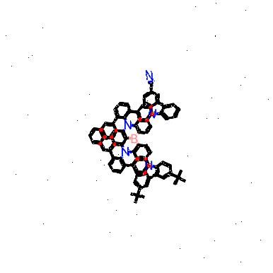 CC(C)(C)c1ccc2c(c1)c1cc(C(C)(C)C)ccc1n2-c1ccc2c(c1)N(c1c(-c3ccccc3)cccc1-c1ccccc1)c1cc(-c3ccccc3)cc3c1B2c1ccc(-n2c4ccccc4c4cc(C#N)ccc42)cc1N3c1c(-c2ccccc2)cccc1-c1ccccc1